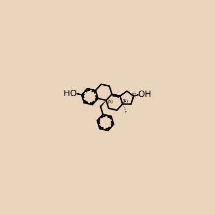 C[C@]12CC[C@@]3(Cc4ccccc4)C(=C1C[C@@H](O)C2)CCc1cc(O)ccc13